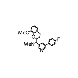 CNC(c1cncc(-c2ccc(F)cc2)c1)[C@@H]1CCc2cccc(OC)c2O1